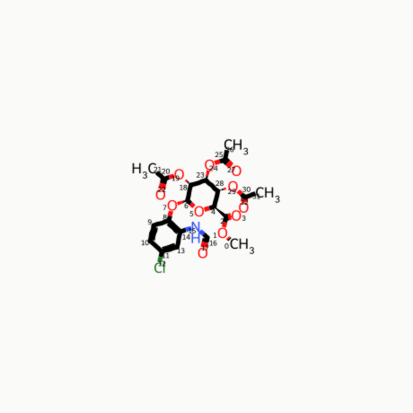 COC(=O)[C@H]1O[C@@H](Oc2ccc(Cl)cc2NC=O)[C@H](OC(C)=O)[C@@H](OC(C)=O)[C@@H]1OC(C)=O